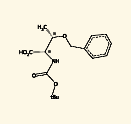 C[C@H](OCc1ccccc1)[C@H](NC(=O)OC(C)(C)C)C(=O)O